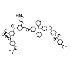 COc1ccc(Oc2ccc(C(=O)c3ccc(COc4ccc(C(c5ccccc5)(c5ccccc5)c5ccc(Oc6ccc(S(=O)(=O)c7ccc(C)cc7)cc6)cc5)cc4)c(SOOO)c3)cc2S(=O)(=O)O)cc1